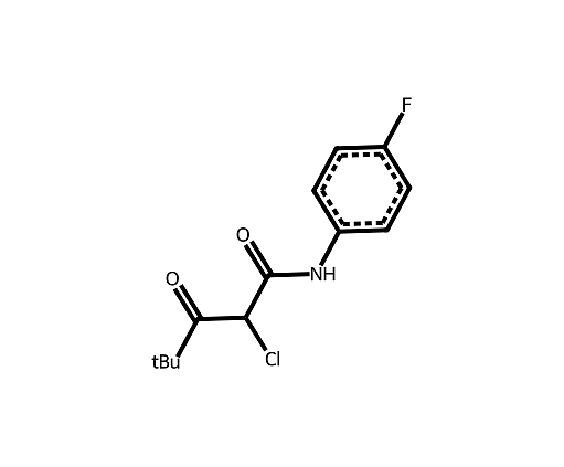 CC(C)(C)C(=O)C(Cl)C(=O)Nc1ccc(F)cc1